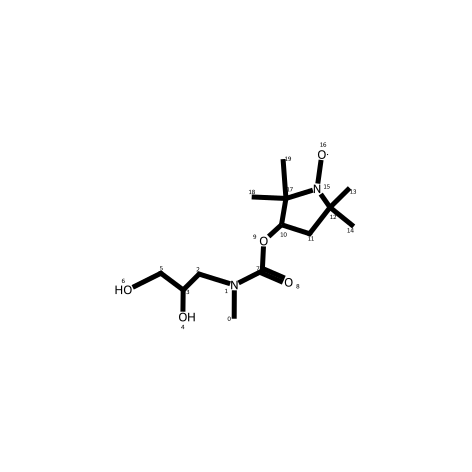 CN(CC(O)CO)C(=O)OC1CC(C)(C)N([O])C1(C)C